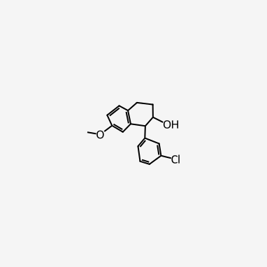 COc1ccc2c(c1)C(c1cccc(Cl)c1)C(O)CC2